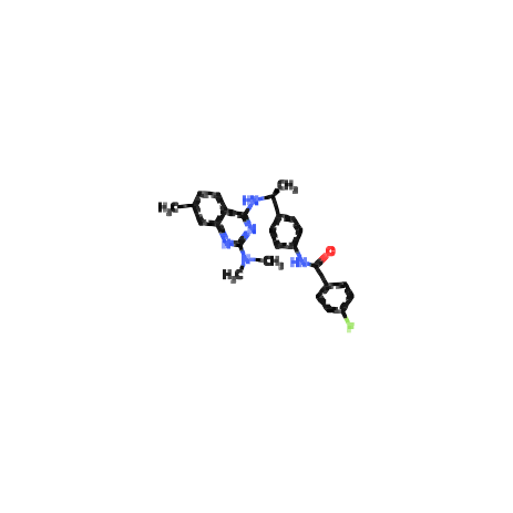 Cc1ccc2c(N[C@@H](C)c3ccc(NC(=O)c4ccc(F)cc4)cc3)nc(N(C)C)nc2c1